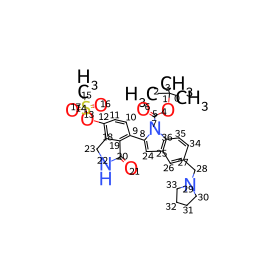 CC(C)(C)OC(=O)n1c(-c2ccc(OS(C)(=O)=O)c3c2C(=O)NC3)cc2cc(CN3CCCC3)ccc21